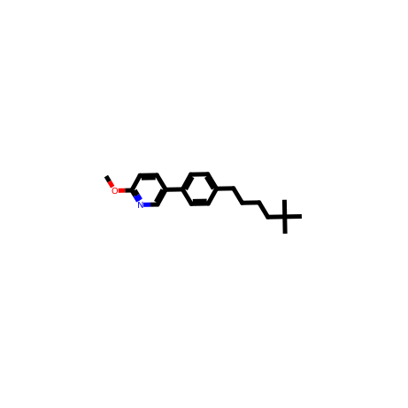 COc1ccc(-c2ccc(CCCCC(C)(C)C)cc2)cn1